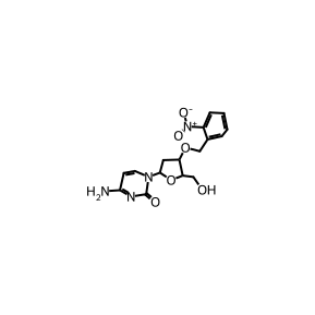 Nc1ccn(C2CC(OCc3ccccc3[N+](=O)[O-])C(CO)O2)c(=O)n1